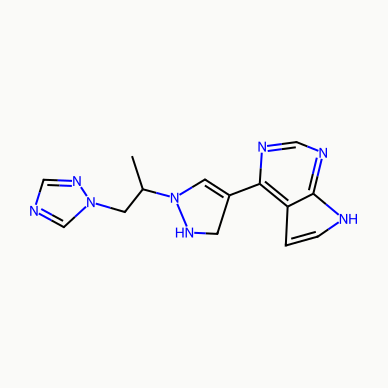 CC(Cn1cncn1)N1C=C(c2ncnc3[nH]ccc23)CN1